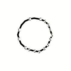 C1CCCCCSSSSSSSSSSCCCC1